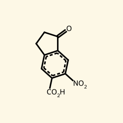 O=C1CCc2cc(C(=O)O)c([N+](=O)[O-])cc21